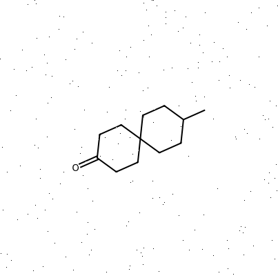 CC1CCC2(CCC(=O)CC2)CC1